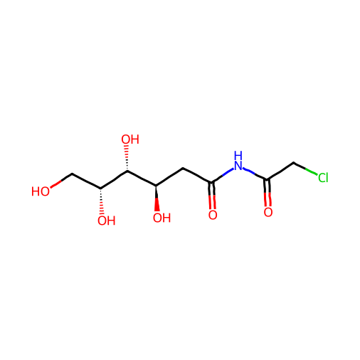 O=C(CCl)NC(=O)C[C@@H](O)[C@@H](O)[C@H](O)CO